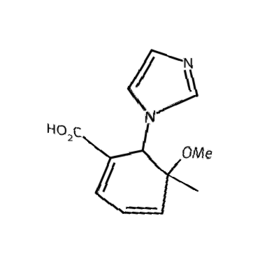 COC1(C)C=CC=C(C(=O)O)C1n1ccnc1